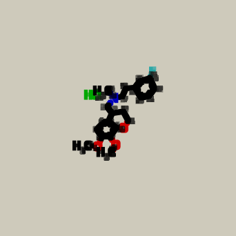 COc1ccc2c(c1OC)OCCC2CN(C)CCc1cccc(F)c1.Cl